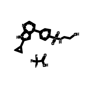 O=C(O)C(F)(F)F.O=S(=O)(NCCO)c1ccc(-c2ccnc3[nH]c(C4CC4)cc23)cc1